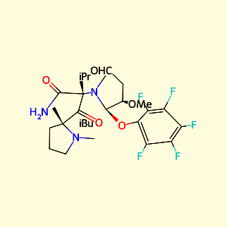 CC[C@H](C)[C@@](Oc1c(F)c(F)c(F)c(F)c1F)([C@@H](CC=O)OC)N(C)[C@@](C(N)=O)(C(=O)[C@@]1(C)CCCN1C)C(C)C